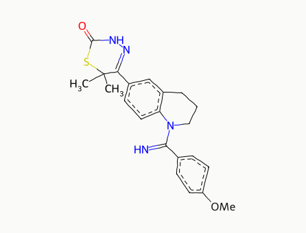 COc1ccc(C(=N)N2CCCc3cc(C4=NNC(=O)SC4(C)C)ccc32)cc1